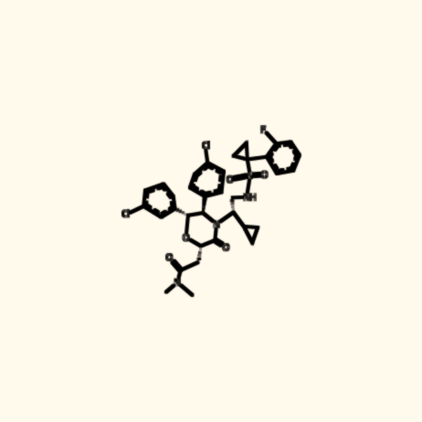 CN(C)C(=O)C[C@@H]1O[C@H](c2cccc(Cl)c2)[C@@H](c2ccc(Cl)cc2)N([C@H](CNS(=O)(=O)C2(c3ccccc3F)CC2)C2CC2)C1=O